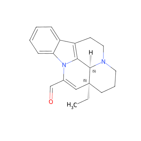 CC[C@@]12C=C(C=O)n3c4c(c5ccccc53)CCN(CCC1)[C@H]42